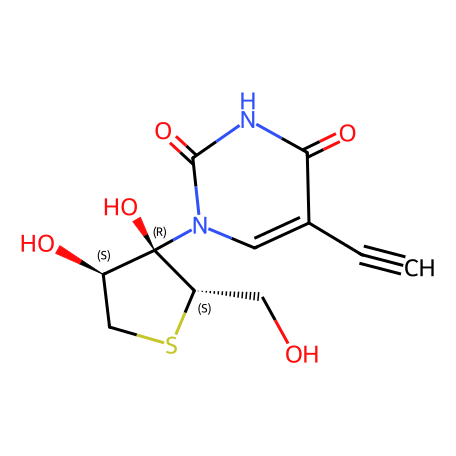 C#Cc1cn([C@@]2(O)[C@H](O)CS[C@H]2CO)c(=O)[nH]c1=O